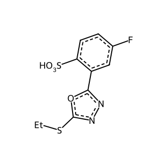 CCSc1nnc(-c2cc(F)ccc2S(=O)(=O)O)o1